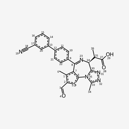 Cc1c(C=O)sc2c1C(c1ccc(-c3cccc(C#N)c3)cc1)=N[C@@H](C(C)C(=O)O)c1nnc(C)n1-2